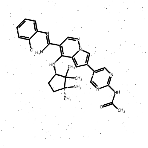 CC(=O)Nc1ncc(-c2cc3c(N[C@@H]4CC[C@](C)(N)C4(C)C)c(/C(N)=N/c4ccccc4Cl)cnn3c2)cn1